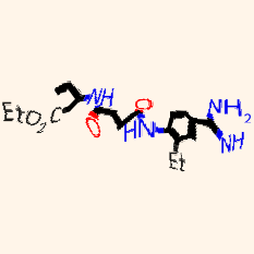 C=CC(CC(=O)OCC)NC(=O)CCC(=O)Nc1ccc(C(=N)N)cc1CC